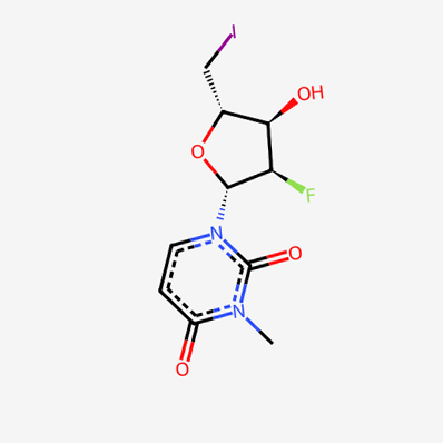 Cn1c(=O)ccn([C@@H]2O[C@H](CI)[C@@H](O)[C@H]2F)c1=O